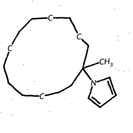 CC1(n2cccc2)CCCCCCCCCCCCC1